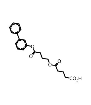 O=C(O)CCCC(=O)OCCCC(=O)Oc1cccc(-c2ccccc2)c1